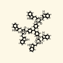 O=C(Cc1c[nH]c2ccccc12)N[C@@H](Cc1c[nH]c2ccccc12)C(=O)Nc1ccc(C(c2ccc(NC(=O)[C@H](Cc3c[nH]c4ccccc34)NC(=O)Cc3c[nH]c4ccccc34)cc2)c2ccc(NC(=O)[C@H](Cc3c[nH]c4ccccc34)NC(=O)Cc3c[nH]c4ccccc34)cc2)cc1